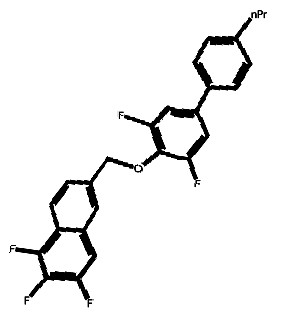 CCCc1ccc(-c2cc(F)c(OCc3ccc4c(F)c(F)c(F)cc4c3)c(F)c2)cc1